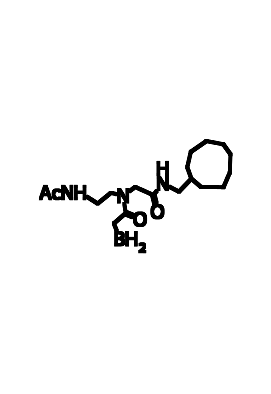 BCC(=O)N(CCNC(C)=O)CC(=O)NCC1CCCCCCCC1